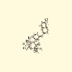 CCc1ccc(Oc2ccc3cc(Cl)ccc3n2)cc1C1=C(O)C(C)(C)OC(C)(C)C1=O